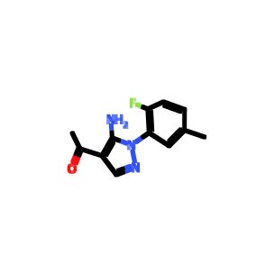 CC(=O)c1cnn(-c2cc(C)ccc2F)c1N